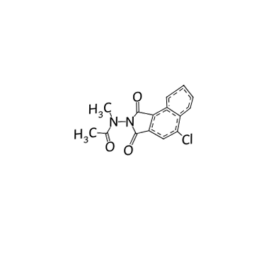 CC(=O)N(C)N1C(=O)c2cc(Cl)c3ccccc3c2C1=O